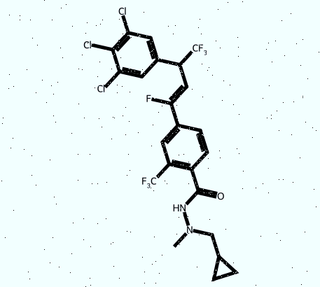 CN(CC1CC1)NC(=O)c1ccc(C(F)=CC(c2cc(Cl)c(Cl)c(Cl)c2)C(F)(F)F)cc1C(F)(F)F